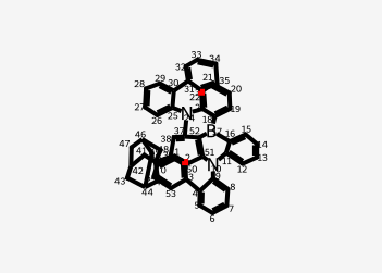 c1ccc(-c2ccccc2N2c3ccccc3B3c4ccccc4N(c4ccccc4-c4ccccc4)c4cc(C56CC7CC(CC(C7)C5)C6)cc2c43)cc1